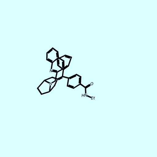 CCNC(=O)c1ccc(C(=C2CC3CCC(C2)N3Cc2ccc3ccccc3n2)c2ccccc2)cc1